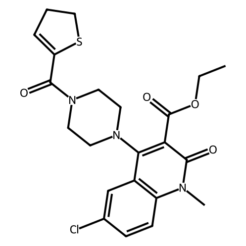 CCOC(=O)c1c(N2CCN(C(=O)C3=CCCS3)CC2)c2cc(Cl)ccc2n(C)c1=O